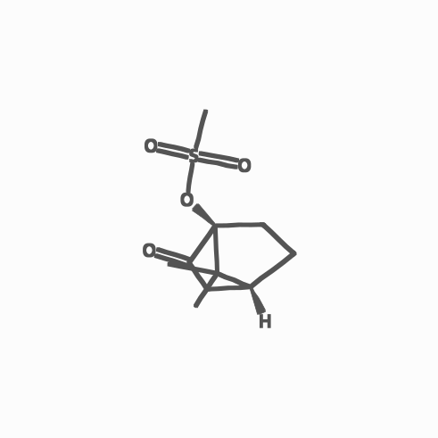 CC1(C)[C@@H]2CC[C@@]1(OS(C)(=O)=O)C(=O)C2